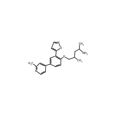 Cc1cc(-c2ccc(OCC(C)CC(C)N)c(-c3ccno3)c2)ccn1